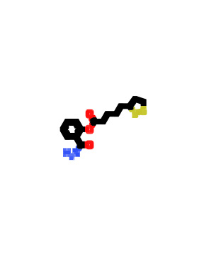 NC(=O)c1ccccc1OC(=O)CCCCC1CCSS1